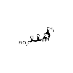 CCOC(=O)C(Cl)CC(=O)Nc1ncc(C)s1